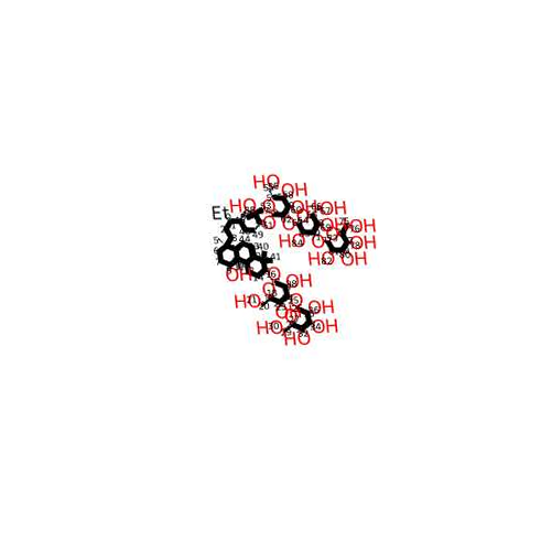 CCC(CC[C@]1(C)CC[C@@H](O)[C@@]2(C)C3CC[C@H](O[C@@H]4O[C@H](CO)[C@@H](O)[C@H](O[C@@H]5O[C@H](CO)[C@@H](O)[C@H](O)[C@H]5O)[C@H]4O)C(C)(C)C3=CCC12)[C@H](C)CC[C@@H](O[C@@H]1O[C@H](CO)[C@@H](O)[C@H](O)[C@H]1O[C@@H]1O[C@H](CO)[C@@H](O)[C@H](O[C@@H]2OC(CO)[C@@H](O)[C@H](O)[C@H]2O)[C@H]1O)C(C)(C)O